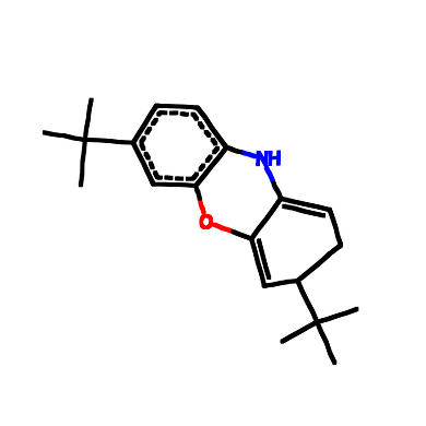 CC(C)(C)c1ccc2c(c1)OC1=CC(C(C)(C)C)CC=C1N2